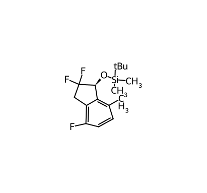 Cc1ccc(F)c2c1[C@H](O[Si](C)(C)C(C)(C)C)C(F)(F)C2